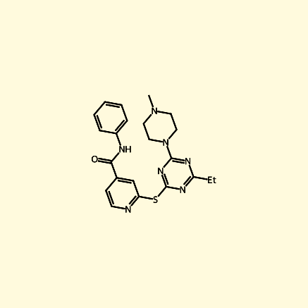 CCc1nc(Sc2cc(C(=O)Nc3ccccc3)ccn2)nc(N2CCN(C)CC2)n1